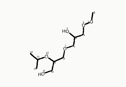 COOCC(O)COCC(CO)OC(C)C